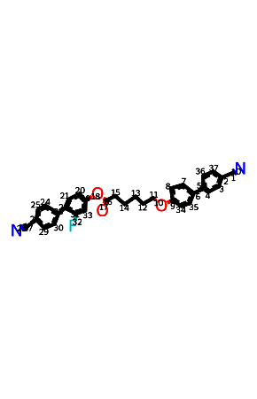 N#Cc1ccc(-c2ccc(OCCCCCC(=O)Oc3ccc(-c4ccc(C#N)cc4)c(F)c3)cc2)cc1